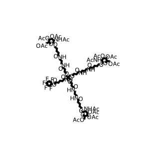 CC(=O)N[C@H]1C(OC(C)=O)[C@@H](OC(C)=O)C(COC(C)=O)O[C@H]1OCCCCC(=O)NCCCNC(=O)CCOCC(COCCC(=O)NCCCNC(=O)CCCCO[C@@H]1OC(COC(C)=O)[C@H](OC(C)=O)C(OC(C)=O)[C@@H]1NC(C)=O)(COCCC(=O)NCCCNC(=O)CCCCO[C@@H]1OC(COC(C)=O)[C@H](OC(C)=O)C(OC(C)=O)[C@@H]1NC(C)=O)NC(=O)CCCC(=O)Oc1c(F)c(F)c(F)c(F)c1F